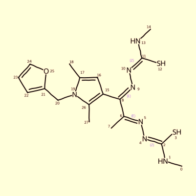 CN/C(S)=N/N=C(C)/C(=N/N=C(\S)NC)c1cc(C)n(Cc2ccco2)c1C